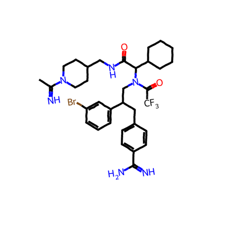 CC(=N)N1CCC(CNC(=O)C(C2CCCCC2)N(CC(Cc2ccc(C(=N)N)cc2)c2cccc(Br)c2)C(=O)C(F)(F)F)CC1